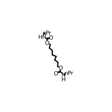 CCCNC(=O)OCCCCCCCCOC(=O)NCCC